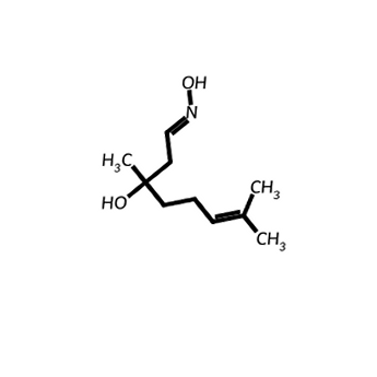 CC(C)=CCCC(C)(O)CC=NO